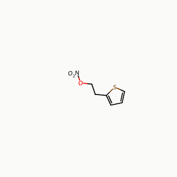 O=[N+]([O-])OCCc1cccs1